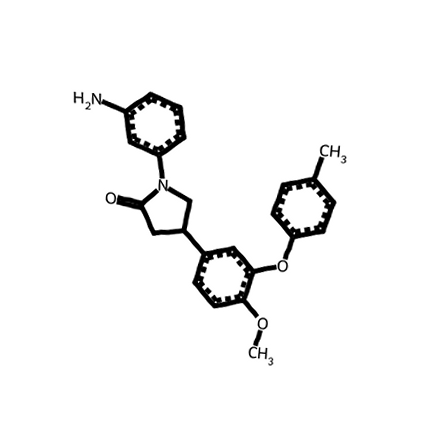 COc1ccc(C2CC(=O)N(c3cccc(N)c3)C2)cc1Oc1ccc(C)cc1